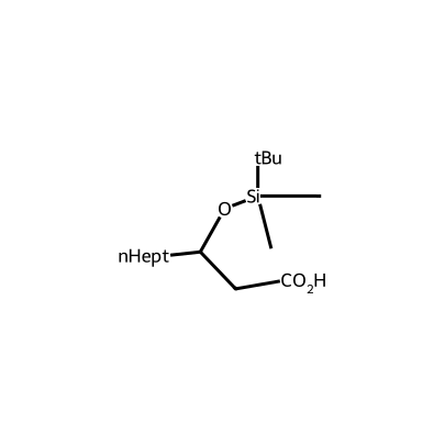 CCCCCCCC(CC(=O)O)O[Si](C)(C)C(C)(C)C